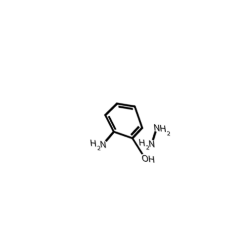 NN.Nc1ccccc1O